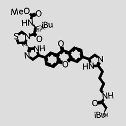 CC[C@H](C)CC(=O)NCCCCC1=NCC(c2ccc3c(=O)c4cc(C5CN=C([C@@H]6CSCN6C(=O)[C@@H](NC(=O)OC)[C@@H](C)CC)N5)ccc4oc3c2)N1